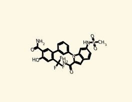 CS(=O)(=O)Nc1ccc2cc(C(N)=O)n(-c3cccc(-c4cc(C(N)=O)c(O)cc4C(F)(F)F)c3)c2c1